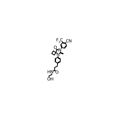 C=C1N(c2ccc(C#N)c(C(F)(F)F)c2)C(=O)C2(CCC2)N1c1ccc(CCC(=O)NCCO)cc1